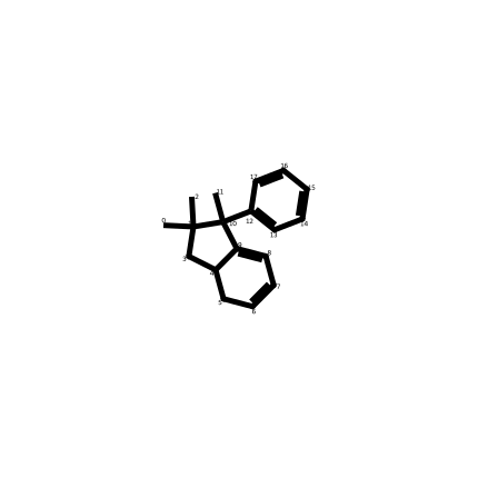 CC1(C)CC2CC=CC=C2C1(C)c1ccccc1